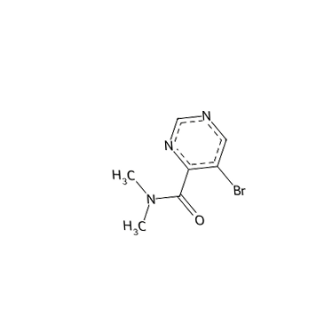 CN(C)C(=O)c1ncncc1Br